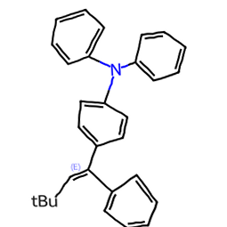 CC(C)(C)/C=C(\c1ccccc1)c1ccc(N(c2ccccc2)c2ccccc2)cc1